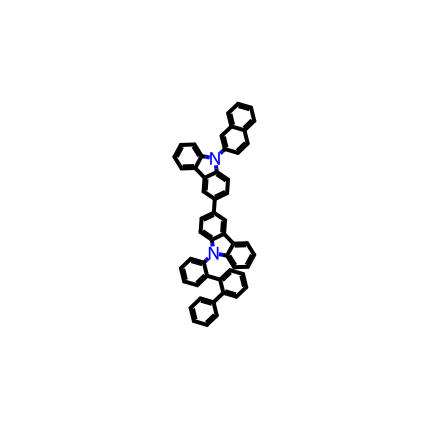 c1ccc(-c2ccccc2-c2ccccc2-n2c3ccccc3c3cc(-c4ccc5c(c4)c4ccccc4n5-c4ccc5ccccc5c4)ccc32)cc1